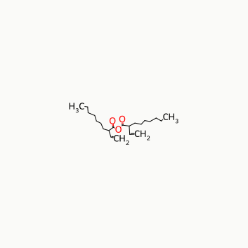 C=CC(CCCCCCC)C(=O)OC(=O)C(C=C)CCCCCCC